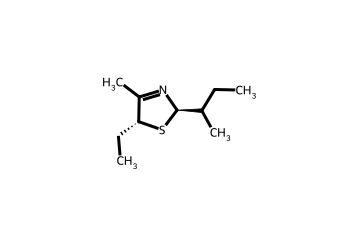 CCC(C)[C@@H]1N=C(C)[C@@H](CC)S1